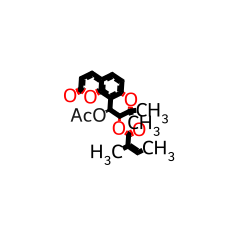 C/C=C(/C)C(=O)O[C@H]1[C@@H](OC(C)=O)c2c(ccc3ccc(=O)oc23)OC1(C)C